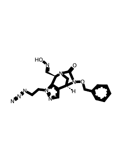 [N-]=[N+]=NCCn1ncc2c1[C@@H](/C=N/O)N1C[C@H]2N(OCc2ccccc2)C1=O